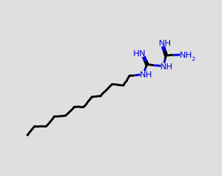 CCCCCCCCCCCCNC(=N)NC(=N)N